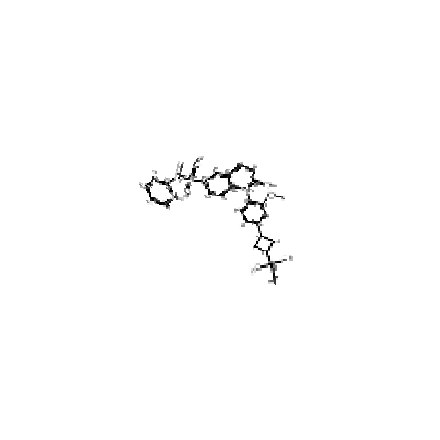 COc1cc(C2CC(C(F)(F)F)C2)ccc1-n1c(=O)ccc2cc(S(=O)(=O)Nc3ncccn3)ccc21